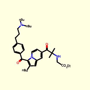 CCCCc1cc2cc(C(=O)C(C)(C)NCC(=O)OCC)ccn2c1C(=O)c1ccc(CCCN(CCCC)CCCC)cc1